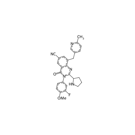 COc1ccc(-n2c(C3CCCN3)nc3c(Cc4ccc(C)nc4)cc(C#N)cc3c2=O)cc1F